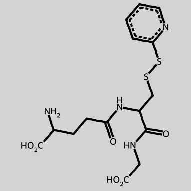 NC(CCC(=O)NC(CSSc1ccccn1)C(=O)NCC(=O)O)C(=O)O